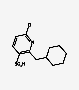 O=S(=O)(O)c1ccc(Cl)nc1CC1CCCCC1